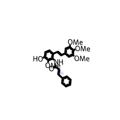 COc1cc(C=Cc2ccc(O)c(OC)c2NC(=O)/C=C/c2ccccc2)cc(OC)c1OC